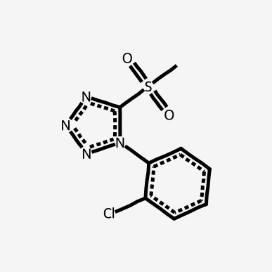 CS(=O)(=O)c1nnnn1-c1ccccc1Cl